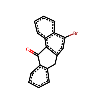 O=C1c2ccccc2Cc2cc(Br)c3ccccc3c21